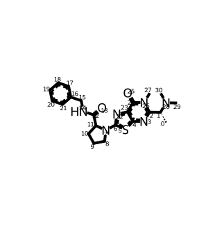 C[C@H](c1nc2sc(N3CCCC3C(=O)NCc3ccccc3)nc2c(=O)n1C)N(C)C